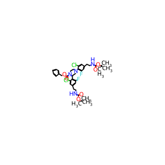 CC(C)(C)OC(=O)NCCc1cc(F)c(C2CN(c3c(F)cc(CCNC(=O)OC(C)(C)C)cc3Cl)CCN2C(=O)OCc2ccccc2)c(Cl)c1